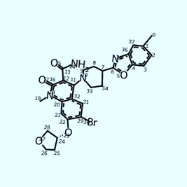 Cc1ccc2oc(C3CCN(c4c(C(N)=O)c(=O)n(C)c5cc(O[C@@H]6CCOC6)c(Br)cc45)CC3)nc2c1